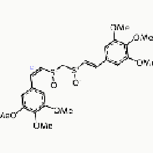 COc1cc(C=C[S+]([O-])C[S+]([O-])/C=C\c2cc(OC)c(OC)c(OC)c2)cc(OC)c1OC